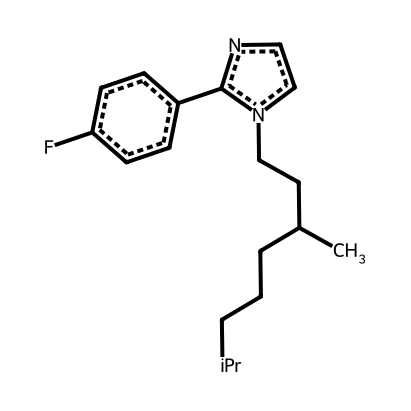 CC(C)CCCC(C)CCn1ccnc1-c1ccc(F)cc1